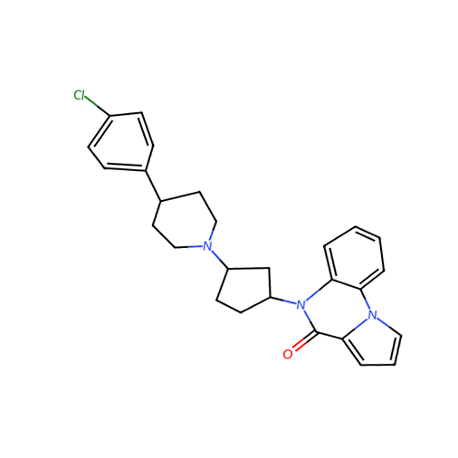 O=c1c2cccn2c2ccccc2n1C1CCC(N2CCC(c3ccc(Cl)cc3)CC2)C1